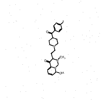 CN1CN2C(=CC=CC2O)C(=O)C1CCN1CCC(C(=O)c2ccc(F)cc2)CC1